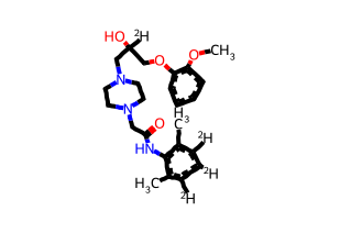 [2H]c1c([2H])c(C)c(NC(=O)CN2CCN(CC([2H])(O)COc3ccccc3OC)CC2)c(C)c1[2H]